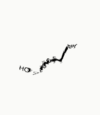 CCCC#CC#CCCCOCCOCC(=O)O